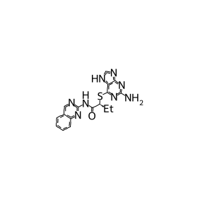 CC[C@H](Sc1nc(N)nc2nc[nH]c12)C(=O)Nc1ncc2ccccc2n1